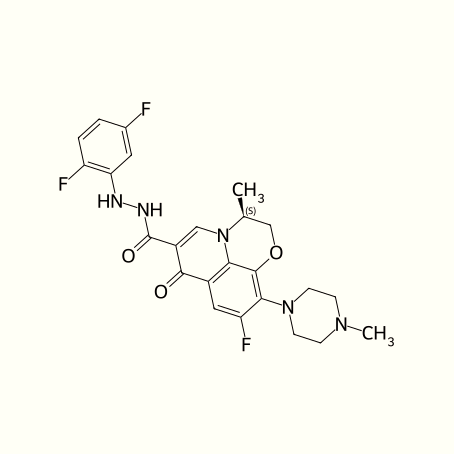 C[C@H]1COc2c(N3CCN(C)CC3)c(F)cc3c(=O)c(C(=O)NNc4cc(F)ccc4F)cn1c23